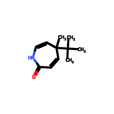 CC(C)(C)C1(C)C=CNC(=O)C=C1